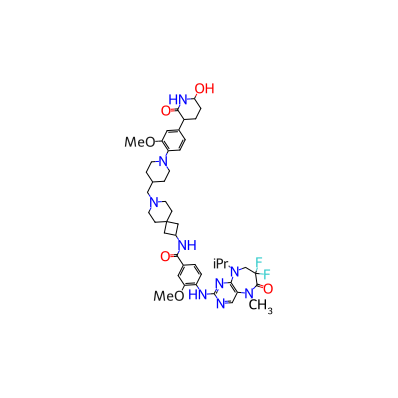 COc1cc(C(=O)NC2CC3(CCN(CC4CCN(c5ccc(C6CCC(O)NC6=O)cc5OC)CC4)CC3)C2)ccc1Nc1ncc2c(n1)N(C(C)C)CC(F)(F)C(=O)N2C